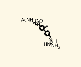 CC(=O)NC[C@H]1CN(c2ccc(-c3ccc(C=NNC(=N)N)cc3)c(F)c2)C(=O)O1